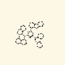 c1ccc2c3c(ccc2c1)-c1cccc2cccc(c12)N3c1nc(-c2cc3ccccc3c3ccccc23)nc(-c2cccc3c2sc2ccccc23)n1